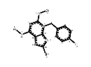 CCNc1nc(NCC)n(Cc2ccc(Cl)cc2)c2nc(C(C)C)nc1-2